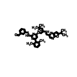 Cc1cccc(C)c1-c1cc(OCC(CC(C)(C)C)NCc2cnc3oc(C(C)C)cc3n2)nc(NSc2cccc(C=O)c2)n1